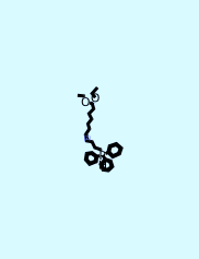 CCOC(CCCCC/C=C\CCC[PH](c1ccccc1)(c1ccccc1)c1ccccc1)OCC